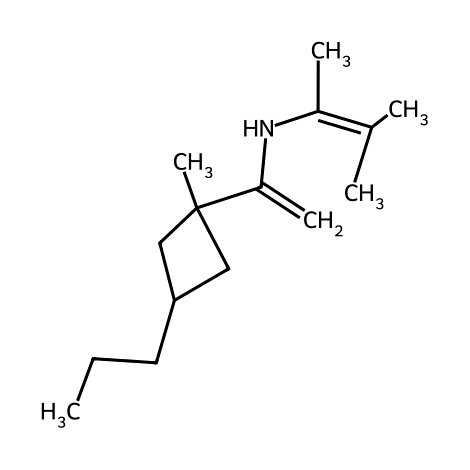 C=C(NC(C)=C(C)C)C1(C)CC(CCC)C1